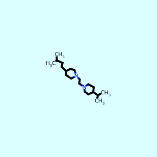 CC(C)CCC1CCN(CCN2CCC(C(C)C)CC2)CC1